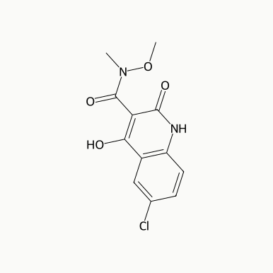 CON(C)C(=O)c1c(O)c2cc(Cl)ccc2[nH]c1=O